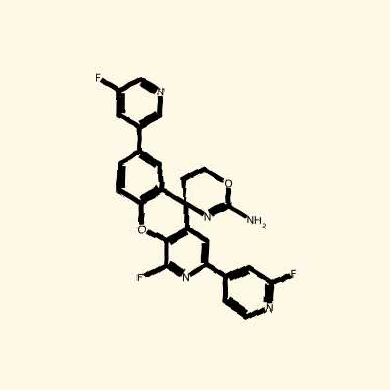 NC1=N[C@@]2(CCO1)c1cc(-c3cncc(F)c3)ccc1Oc1c2cc(-c2ccnc(F)c2)nc1F